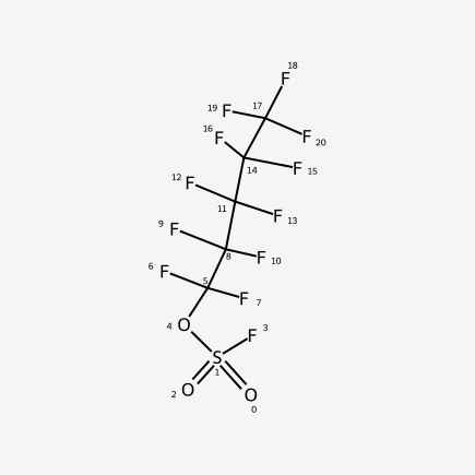 O=S(=O)(F)OC(F)(F)C(F)(F)C(F)(F)C(F)(F)C(F)(F)F